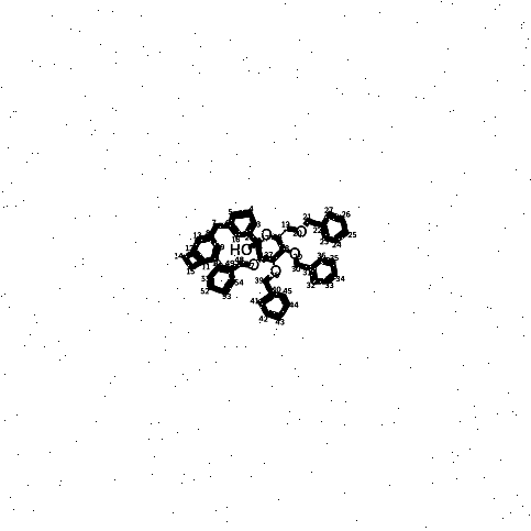 OC1(c2cccc(Cc3ccc4c(c3)CC4)c2)O[C@H](COCc2ccccc2)[C@@H](OCc2ccccc2)[C@H](OCc2ccccc2)[C@H]1OCc1ccccc1